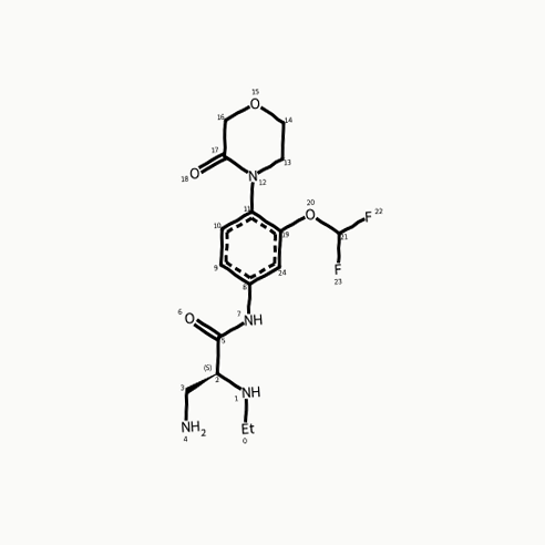 CCN[C@@H](CN)C(=O)Nc1ccc(N2CCOCC2=O)c(OC(F)F)c1